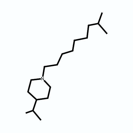 CC(C)CCCCCCCN1CCC(C(C)C)CC1